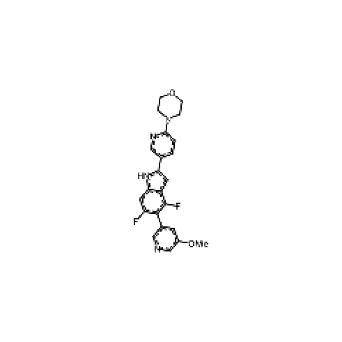 COc1cncc(-c2c(F)cc3[nH]c(-c4ccc(N5CCOCC5)nc4)cc3c2F)c1